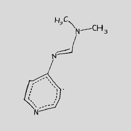 CN(C)C=Nc1[c]cncc1